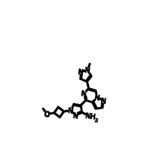 COC1CC(n2cc(-c3nc(-c4cnn(C)c4)cn4nccc34)c(N)n2)C1